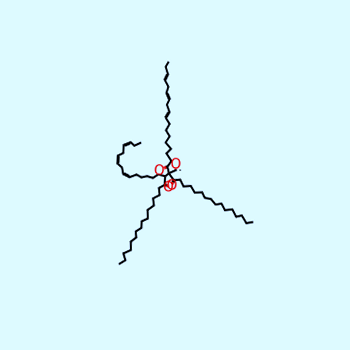 CCC=CCC=CCC=CCCCCCCCC(=O)C([C]=O)(C(=O)CCCCCCCCCCCCCCC)C(CCCCC/C=C\C/C=C\C/C=C\CC)C(=O)CCCCCCCCCCCCCCC